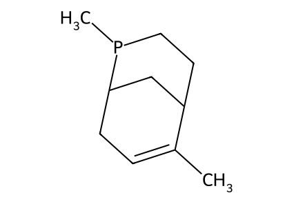 CC1=CCC2CC1CCP2C